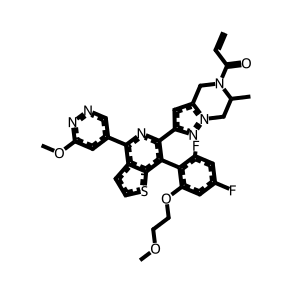 C=CC(=O)N1Cc2cc(-c3nc(-c4cnnc(OC)c4)c4ccsc4c3-c3c(F)cc(F)cc3OCCOC)nn2CC1C